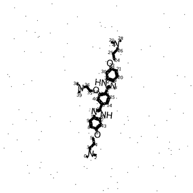 CN(C)CCCOc1ccc2nc(-c3ccc(-c4nc5ccc(OCCCN(C)C)cc5[nH]4)c(OCCN(C)C)c3)[nH]c2c1